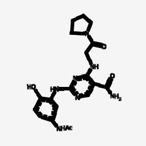 CC(=O)Nc1ccc(O)c(Nc2ncc(C(N)=O)c(NCC(=O)N3CCCC3)n2)c1